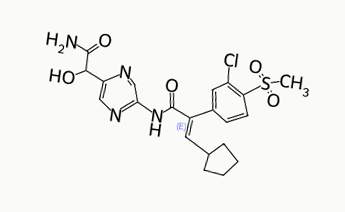 CS(=O)(=O)c1ccc(/C(=C\C2CCCC2)C(=O)Nc2cnc(C(O)C(N)=O)cn2)cc1Cl